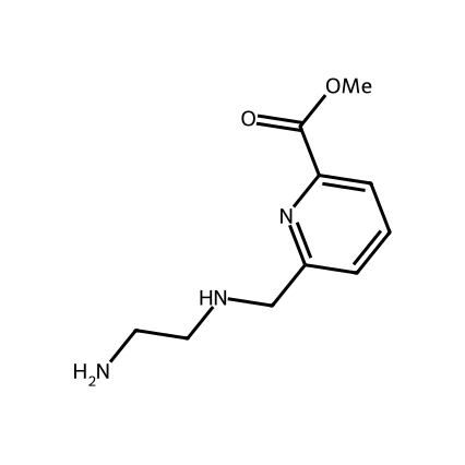 COC(=O)c1cccc(CNCCN)n1